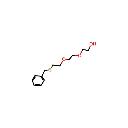 OCCOCCOCCSCc1ccccc1